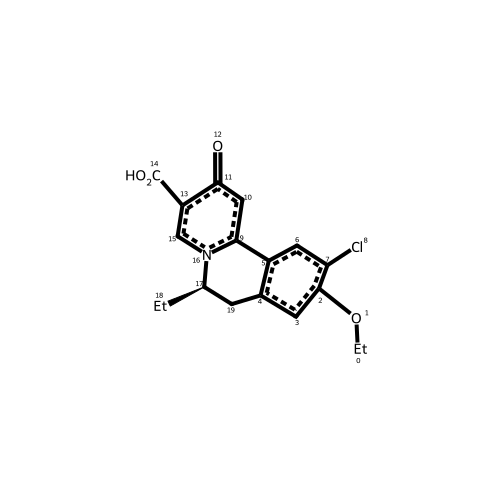 CCOc1cc2c(cc1Cl)-c1cc(=O)c(C(=O)O)cn1[C@H](CC)C2